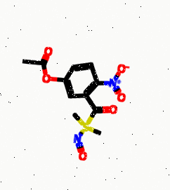 CC(=O)Oc1ccc([N+](=O)[O-])c(C(=O)S(C)(C)N=O)c1